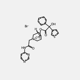 O=C(C[N+]12CCC(CC1)[C@@H](OC(=O)C(O)(c1ccccc1)c1ccsc1)C2)Nc1ccncn1.[Br-]